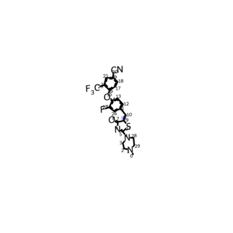 CN1CCN(C2=NC(=O)/C(=C\c3ccc(Oc4ccc(C#N)cc4C(F)(F)F)c(F)c3)S2)CC1